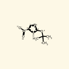 CC(C)(C)Oc1ncc([N+](=O)[O-])s1